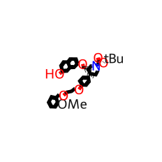 COc1ccccc1COCCCOc1ccc([C@@H]2CCN(C(=O)OC(C)(C)C)C[C@@H]2COc2ccc3ccc(O)cc3c2)cc1